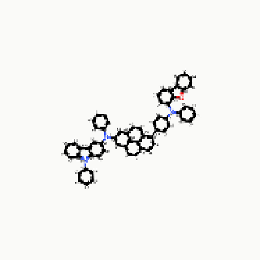 c1ccc(N(c2cc3ccc4ccc(-c5ccc(N(c6ccccc6)c6cccc7c6oc6ccccc67)cc5)c5ccc(c2)c3c45)c2ccc3c(c2)c2ccccc2n3-c2ccccc2)cc1